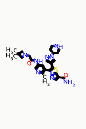 Cc1ncc(NC(=O)CN2CC(C)(C)C2)cc1-c1c(-c2cnn(C3CCNCC3)c2)sc2c(C(N)=O)cnn12